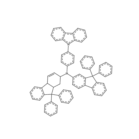 C1=CC(N(c2ccc(-n3c4ccccc4c4ccccc43)cc2)c2ccc3c(c2)C(c2ccccc2)(c2ccccc2)c2ccccc2-3)CC2C1c1ccccc1C2(c1ccccc1)c1ccccc1